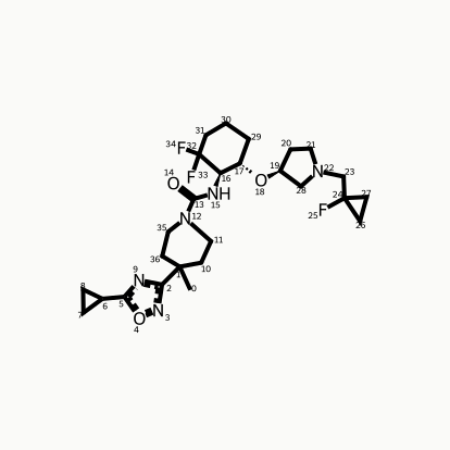 CC1(c2noc(C3CC3)n2)CCN(C(=O)N[C@@H]2[C@@H](O[C@H]3CCN(CC4(F)CC4)C3)CCCC2(F)F)CC1